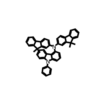 CC1(C)c2ccccc2-c2ccc(N(c3ccc4c(c3)C(C)(C)c3ccccc3-4)c3cccc4c3c3ccccc3n4-c3ccccc3)cc21